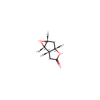 O=C1C[C@@H]2[C@@H]3O[C@@H]3C[C@@H]2O1